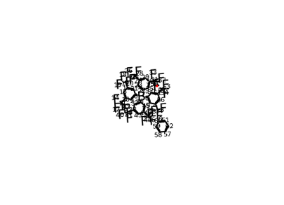 FC(F)(F)c1cc([B-](c2cc(C(F)(F)F)cc(C(F)(F)F)c2)(c2cc(C(F)(F)F)cc(C(F)(F)F)c2)c2cc(C(F)(F)F)cc(C(F)(F)F)c2)cc(C(F)(F)F)c1.c1ccccc1